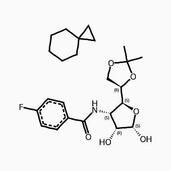 C1CCC2(CC1)CC2.CC1(C)OC[C@H]([C@H]2O[C@H](O)[C@H](O)[C@@H]2NC(=O)c2ccc(F)cc2)O1